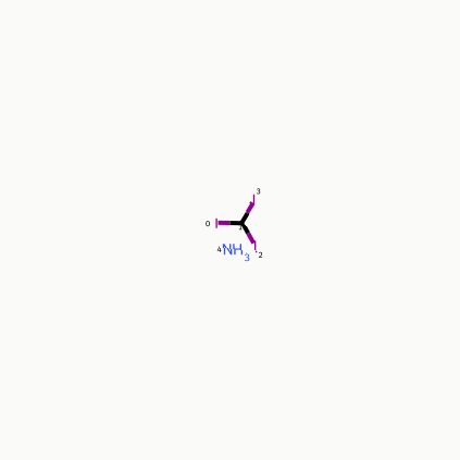 IC(I)I.N